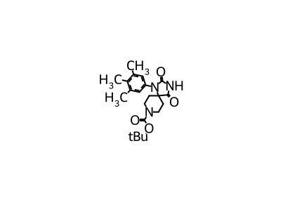 Cc1cc(N2C(=O)NC(=O)C23CCN(C(=O)OC(C)(C)C)CC3)cc(C)c1C